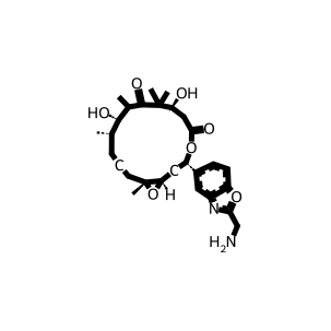 CC1C(=O)C(C)(C)[C@@H](O)CC(=O)O[C@H](c2ccc3oc(CN)nc3c2)C[C@H]2O[C@]2(C)CCC[C@H](C)[C@@H]1O